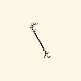 CC(=O)OCC[N+](C)(C)CCOC(=O)CCCCCCC/C=C/CCCCCCCC(=O)OCC[N+](C)(C)CCOC(C)=O